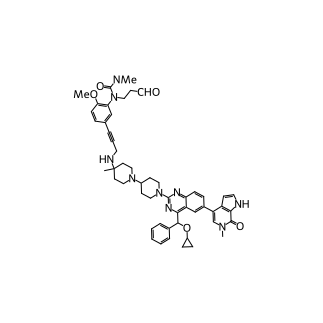 CNC(=O)N(CCC=O)c1cc(C#CCNC2(C)CCN(C3CCN(c4nc(C(OC5CC5)c5ccccc5)c5cc(-c6cn(C)c(=O)c7[nH]ccc67)ccc5n4)CC3)CC2)ccc1OC